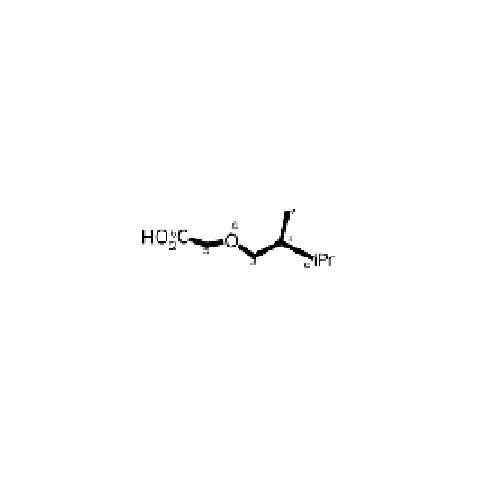 CC(C)C(C)COCC(=O)O